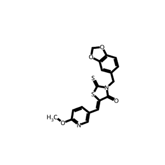 COc1ccc(C=C2SC(=S)N(Cc3ccc4c(c3)OCO4)C2=O)cn1